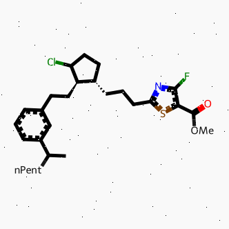 CCCCCC(C)c1cccc(CC[C@H]2C(Cl)CC[C@@H]2CCCc2nc(F)c(C(=O)OC)s2)c1